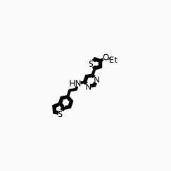 CCOc1csc(-c2cc(NCCc3ccc4sccc4c3)ncn2)c1